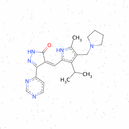 Cc1[nH]c(C=C2C(=O)NN=C2c2ccncn2)c(C(C)C)c1CN1CCCC1